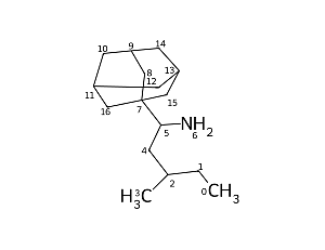 CCC(C)CC(N)C12CC3CC(CC(C3)C1)C2